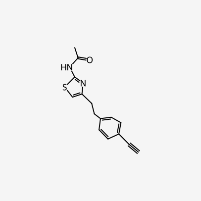 C#Cc1ccc(CCc2csc(NC(C)=O)n2)cc1